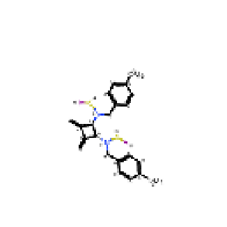 C=C1C(=C)[C@@H](N(Cc2ccc(OC)cc2)SI)[C@@H]1N(Cc1ccc(OC)cc1)SI